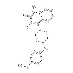 Cn1c(=O)c(C#N)c(N2CCC(Oc3ccc(OC(F)(F)F)cc3)CC2)c2ccccc21